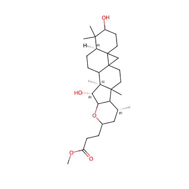 COC(=O)CCC1C[C@@H](C)C2C(O1)[C@H](O)[C@@]1(C)C3CC[C@H]4C(C)(C)C(O)CCC45CC35CCC21C